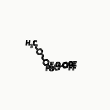 CCCC1CCC(/C=C/C2CCC(C(F)(F)OC3CCC(c4ccc(OC(F)(F)F)cc4)OC3)CC2)CC1